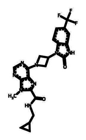 Cn1c(C(=O)NCC2CC2)nc2c(N3CC(n4c(=O)[nH]c5cc(C(F)(F)F)ccc54)C3)ncnc21